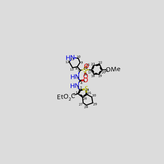 CCOC(=O)c1c(NC(=O)NC(C2CCNCC2)S(=O)(=O)c2ccc(OC)cc2)sc2c1CCCC2